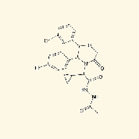 CC(=O)NNC(=O)C(C1CC1)N1C(=O)COC(c2cccc(Cl)c2)C1c1ccc(Cl)cc1